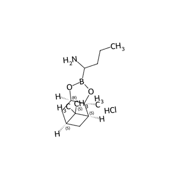 CCCC(N)B1O[C@@H]2C[C@@H]3C[C@@H](C3(C)C)[C@]2(C)O1.Cl